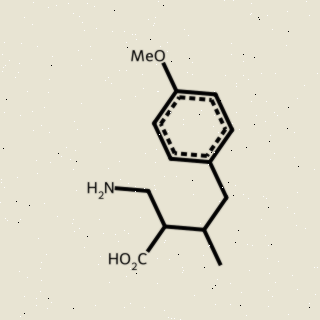 COc1ccc(CC(C)C(CN)C(=O)O)cc1